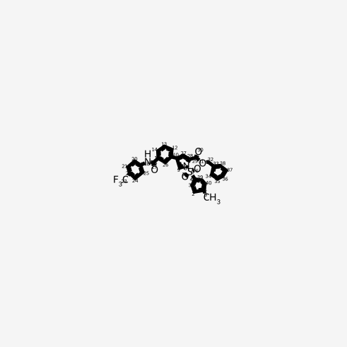 Cc1ccc(S(=O)(=O)n2cc(-c3cccc(C(=O)Nc4ccc(C(F)(F)F)cc4)c3)cc2C(=O)OCc2ccccc2)cc1